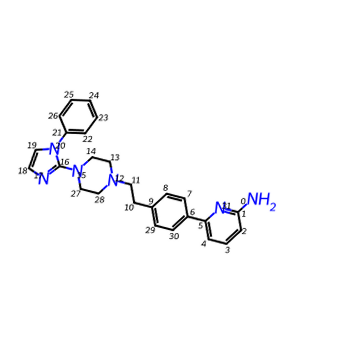 Nc1cccc(-c2ccc(CCN3CCN(c4nccn4-c4ccccc4)CC3)cc2)n1